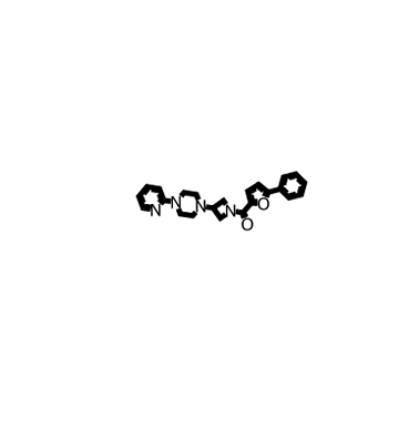 O=C(c1ccc(-c2ccccc2)o1)N1CC(N2CCN(c3ccccn3)CC2)C1